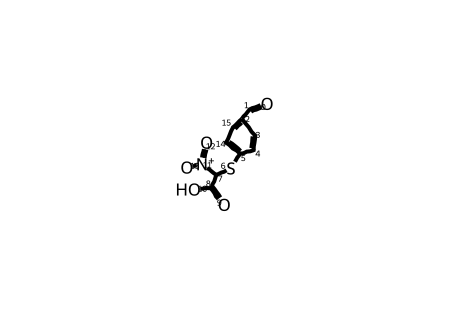 O=Cc1ccc(SC(C(=O)O)[N+](=O)[O-])cc1